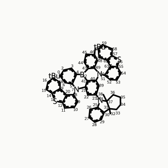 CC(C)(C)c1ccc2c(c1)N(c1cccc3sc4ccccc4c13)c1cc(N3c4ccccc4C4(C)CCCCC34C)cc3c1B2c1ccc(C(C)(C)C)cc1N3c1cccc2sc3ccccc3c12